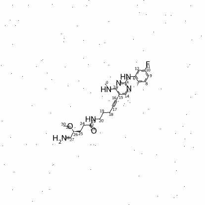 CNc1nc(Nc2cccc(F)c2)ncc1C#CCCCNC(=O)CC[C@@H](CN)OC